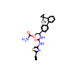 C#Cc1nc(NC(=O)NC(COC(N)=O)c2ccc(-c3ccccc3C3(C#N)CC3)cc2)cs1